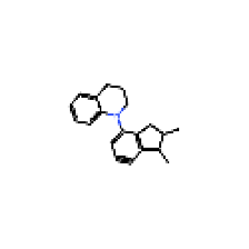 CC1Cc2c(c#ccc2N2CCCc3ccccc32)C1C